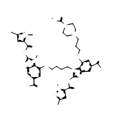 CCn1nc(C)cc1C(=O)Nc1nc2cc(C(N)=O)cc(OCCCCn3c(NC(=O)c4cc(C)nn4CC)nc4cc(C(N)=O)cc(OCCCN5CCN(C(=O)OC(C)(C)C)CC5)c43)c2n1C